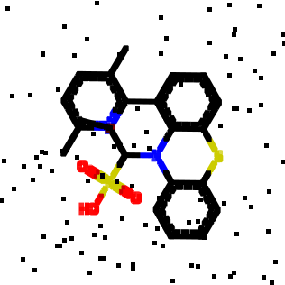 CCC(N1c2ccccc2Sc2cccc(-c3nc(C)ccc3C)c21)S(=O)(=O)O